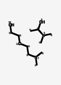 CC(O)N(C)C.CN(C)CCOCCO